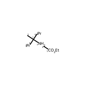 CC(C)C(C)(N)C(C)C.CCOC(C)=O